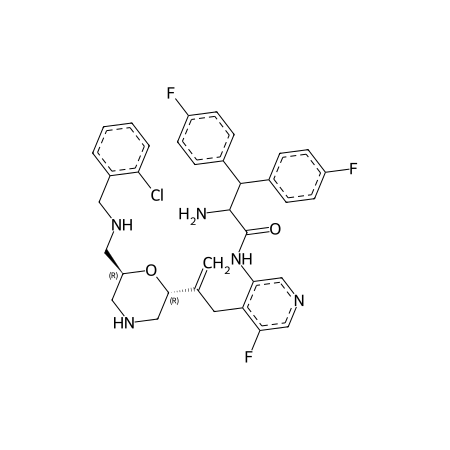 C=C(Cc1c(F)cncc1NC(=O)C(N)C(c1ccc(F)cc1)c1ccc(F)cc1)[C@@H]1CNC[C@@H](CNCc2ccccc2Cl)O1